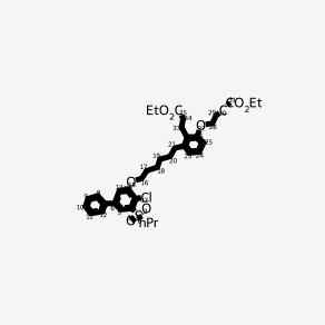 CCCS(=O)(=O)c1cc(-c2ccccc2)cc(OCCCCCCc2cccc(OCCCC(=O)OCC)c2CCC(=O)OCC)c1Cl